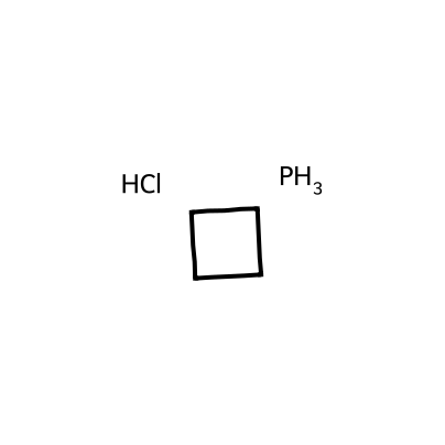 C1CCC1.Cl.P